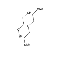 CC(C)(C)OCCO.COCCOCCOC